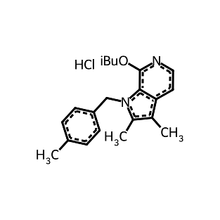 Cc1ccc(Cn2c(C)c(C)c3ccnc(OCC(C)C)c32)cc1.Cl